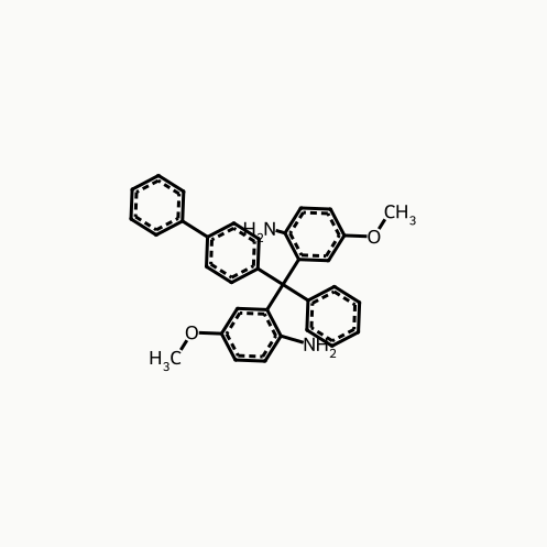 COc1ccc(N)c(C(c2ccccc2)(c2ccc(-c3ccccc3)cc2)c2cc(OC)ccc2N)c1